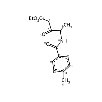 CCOC(=O)CC(=O)C(C)NC(=O)c1ccc(C)cc1